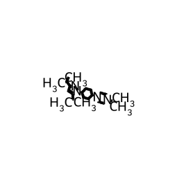 CC(C)c1cc(C(C)C)n([C@H]2CC[C@H](N3CCN(C(C)C)CC3)CC2)n1